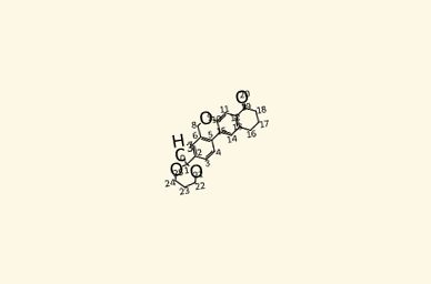 CC1(c2ccc3c(c2)COc2cc4c(cc2-3)CCCC4=O)OCCCO1